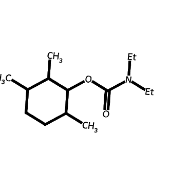 CCN(CC)C(=O)OC1C(C)CCC(C)C1C